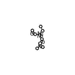 C1=CC2c3cc(-c4nc(-c5cccc(-c6ccccc6)c5)nc(-c5ccc6oc7ccccc7c6c5)n4)ccc3OC2c2c1n(-c1ccccc1)c1ccccc21